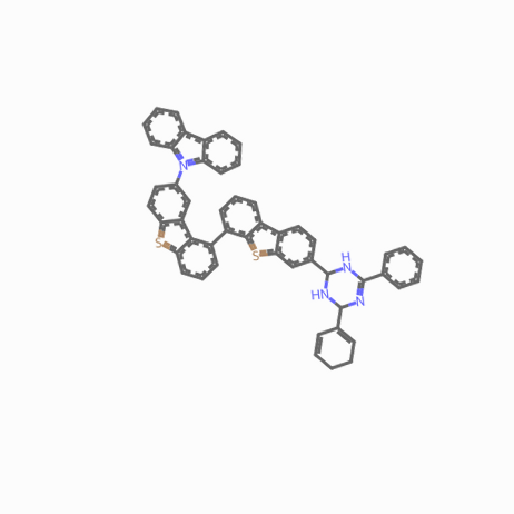 C1=CC(C2N=C(c3ccccc3)NC(c3ccc4c(c3)sc3c(-c5cccc6sc7ccc(-n8c9ccccc9c9ccccc98)cc7c56)cccc34)N2)=CCC1